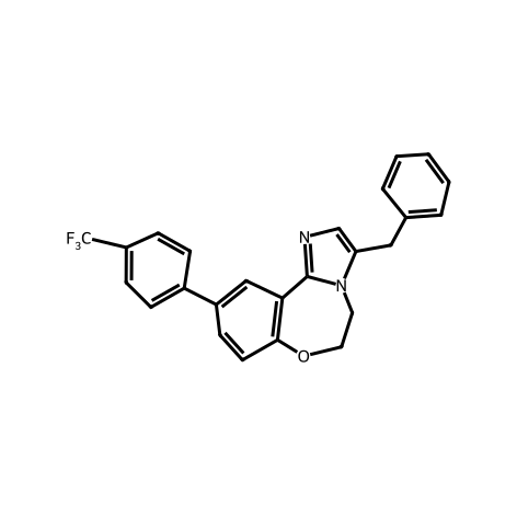 FC(F)(F)c1ccc(-c2ccc3c(c2)-c2ncc(Cc4ccccc4)n2CCO3)cc1